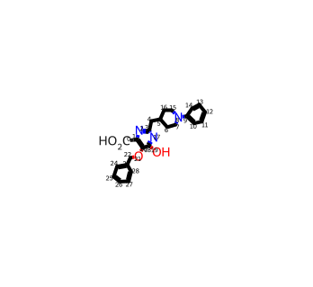 O=C(O)c1nc(CC2CCN(c3ccccc3)CC2)nc(O)c1OCc1ccccc1